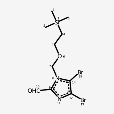 C[Si](C)(C)CCOCn1c(C=O)nc(Br)c1Br